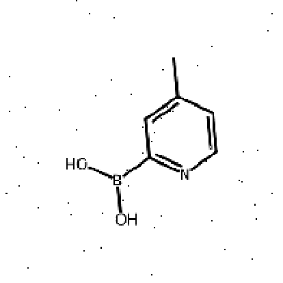 Cc1ccnc(B(O)O)c1